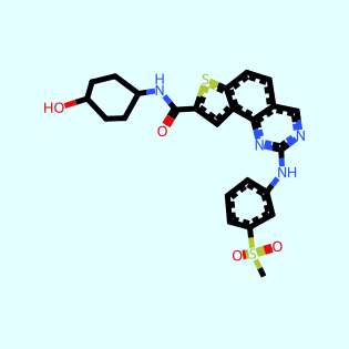 CS(=O)(=O)c1cccc(Nc2ncc3ccc4sc(C(=O)NC5CCC(O)CC5)cc4c3n2)c1